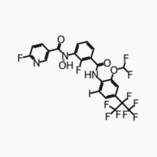 O=C(Nc1c(I)cc(C(F)(C(F)(F)F)C(F)(F)F)cc1OC(F)F)c1cccc(N(O)C(=O)c2ccc(F)nc2)c1F